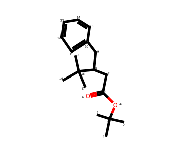 CC(C)(C)OC(=O)CC(Cc1ccccc1)C(C)(C)C